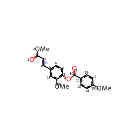 COC(=O)/C=C/c1ccc(OC(=O)c2ccc(OC)cc2)c(OC)c1